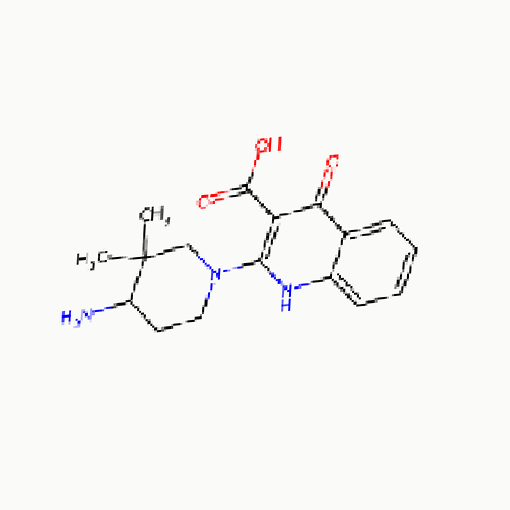 CC1(C)CN(c2[nH]c3ccccc3c(=O)c2C(=O)O)CCC1N